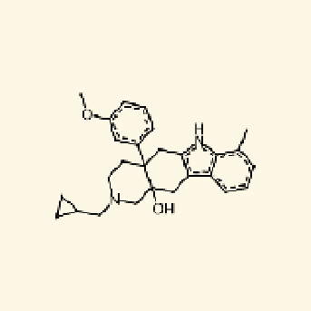 COc1cccc(C23CCN(CC4CC4)CC2(O)Cc2c([nH]c4c(C)cccc24)C3)c1